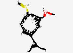 COc1cc(C(C)C)ccc1SC